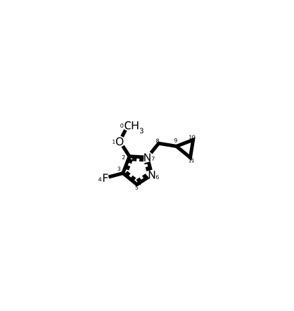 COc1c(F)[c]nn1CC1CC1